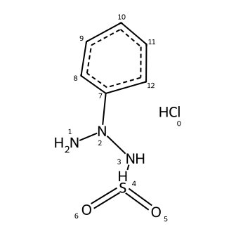 Cl.NN(N[SH](=O)=O)c1ccccc1